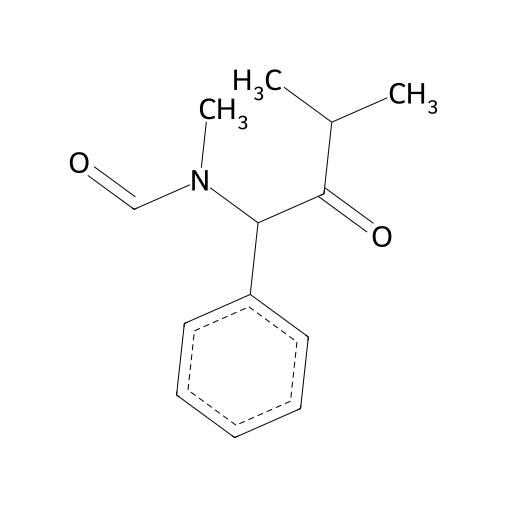 CC(C)C(=O)C(c1ccccc1)N(C)C=O